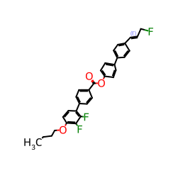 CCCCOc1ccc(-c2ccc(C(=O)Oc3ccc(-c4ccc(/C=C/CF)cc4)cc3)cc2)c(F)c1F